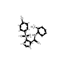 Cc1ccccc1NC(=O)c1ncsc1S(=O)(=O)c1ccc(Cl)cc1